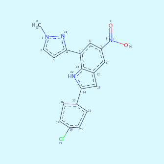 Cn1ccc(-c2cc([N+](=O)[O-])cc3cc(-c4ccc(Cl)cc4)[nH]c23)n1